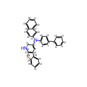 C1=C(N(c2ccc(-c3ccccc3)cc2)c2ccc3ccccc3c2)CNc2sc3ccccc3c21